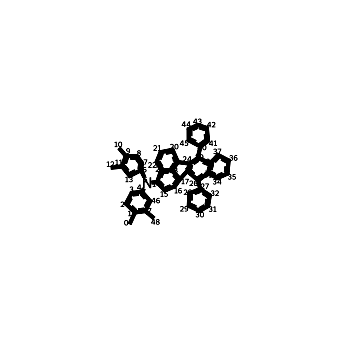 Cc1ccc(N(c2ccc(C)c(C)c2)c2ccc3c4c(cccc24)-c2c-3c(-c3ccccc3)c3ccccc3c2-c2ccccc2)cc1C